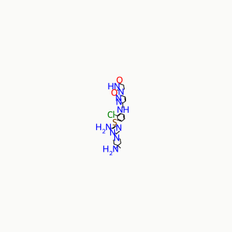 CC1(N)CCN(c2cnc(Sc3cccc(NCc4ccc(N5CCC(=O)NC5=O)nn4)c3Cl)c(N)n2)CC1